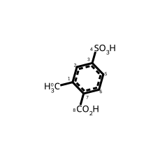 Cc1cc(S(=O)(=O)O)ccc1C(=O)O